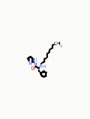 CCCCCCCCCCN[C@@H](Cc1ccccc1)C(=O)Nc1ccccn1